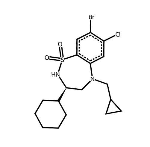 O=S1(=O)N[C@H](C2CCCCC2)CN(CC2CC2)c2cc(Cl)c(Br)cc21